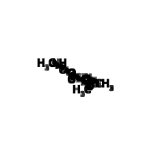 CNCCOCCOC(=O)/C=C/c1ccc(COC)c(OC)c1